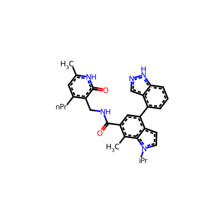 CCCc1cc(C)[nH]c(=O)c1CNC(=O)c1cc(-c2cccc3[nH]ncc23)c2ccn(C(C)C)c2c1C